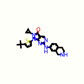 CC(C)(C)c1ccc(-n2c3nc(Nc4ccc5c(c4)CNCC5)ncc3c(=O)n2C2CC2)s1